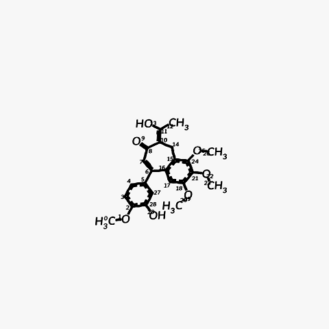 COc1ccc(C2=CC(=O)/C(=C(/C)O)Cc3c2cc(OC)c(OC)c3OC)cc1O